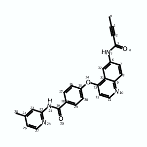 CC#CC(=O)Nc1ccc2nccc(Oc3ccc(C(=O)Nc4cc(C)ccn4)cc3)c2c1